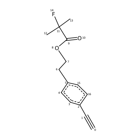 C#Cc1ccc(CCOC(=O)C(C)(C)F)cc1